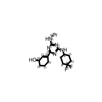 CC(C)Nc1nc(NC2CCC(F)(F)CC2)nc(C2=CC(O)CCC2)n1